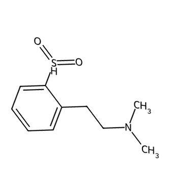 CN(C)CCc1ccccc1[SH](=O)=O